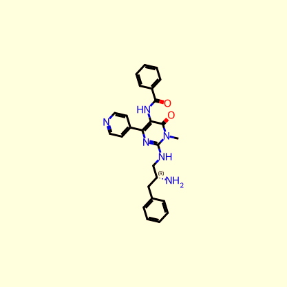 Cn1c(NC[C@H](N)Cc2ccccc2)nc(-c2ccncc2)c(NC(=O)c2ccccc2)c1=O